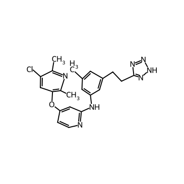 Cc1cc(CCc2nn[nH]n2)cc(Nc2cc(Oc3cc(Cl)c(C)nc3C)ccn2)c1